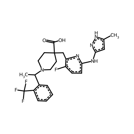 Cc1cc(Nc2ccc(F)c(CC3(C(=O)O)CCN(C(C)c4ccccc4C(F)(F)F)CC3)n2)n[nH]1